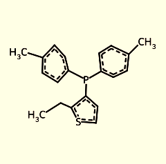 CCc1sccc1P(c1ccc(C)cc1)c1ccc(C)cc1